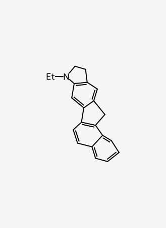 CCN1CCc2cc3c(cc21)-c1ccc2ccccc2c1C3